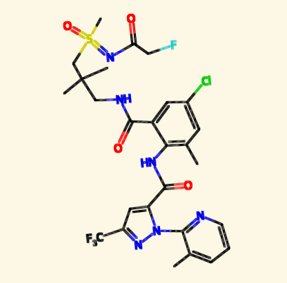 Cc1cccnc1-n1nc(C(F)(F)F)cc1C(=O)Nc1c(C)cc(Cl)cc1C(=O)NCC(C)(C)CS(C)(=O)=NC(=O)CF